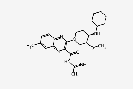 CO[C@H]1CN(c2nc3ccc(C)cc3nc2C(=O)NC(C)=N)CC[C@H]1NC1CCCCC1